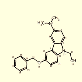 CN(C)c1ccc2c(c1)c1cc(OCc3ccccc3)ccc1n2CO